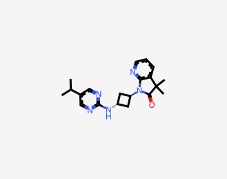 CC(C)c1cnc(N[C@H]2C[C@H](N3C(=O)C(C)(C)c4cccnc43)C2)nc1